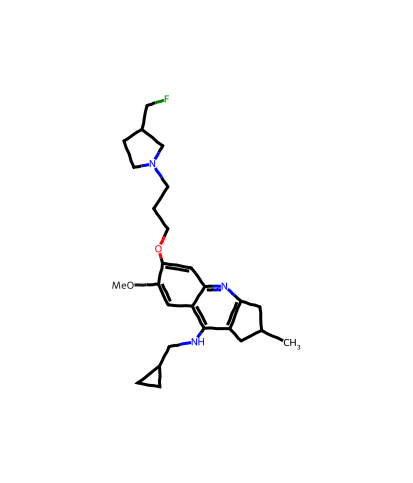 COc1cc2c(NCC3CC3)c3c(nc2cc1OCCCN1CCC(CF)C1)CC(C)C3